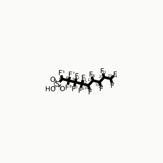 O=S(=O)(O)C(F)C(F)(F)C(F)(F)C(F)(F)C(F)C(F)C(F)C(F)C(F)F